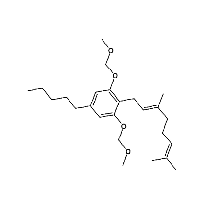 CCCCCc1cc(OCOC)c(C/C=C(\C)CCC=C(C)C)c(OCOC)c1